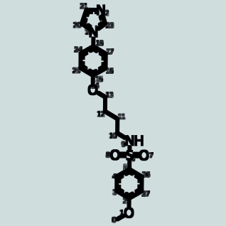 COc1ccc(S(=O)(=O)NCCCCOc2ccc(-n3ccnc3)cc2)cc1